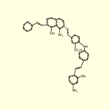 Nc1ccc(N=Nc2ccc(Nc3ccc(N=Nc4ccc5ccc(N=Nc6ccccc6)c(O)c5c4N)cc3S(=O)(=O)O)cc2)c(O)c1